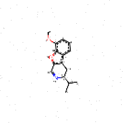 COc1cccc2c3c(oc12)C=N[C@H](C(C)C)C3